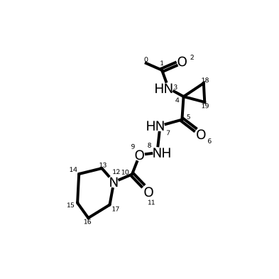 CC(=O)NC1(C(=O)NNOC(=O)N2CCCCC2)CC1